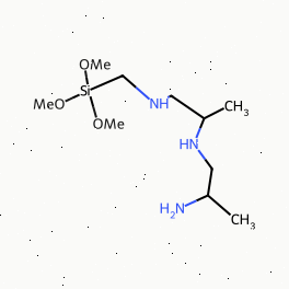 CO[Si](CNCC(C)NCC(C)N)(OC)OC